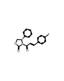 O=C(C=Cc1ccc(F)cc1)N1C(=O)OC[C@H]1c1ccccc1